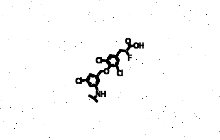 CC(C)Nc1cc(Cl)cc(COc2c(Cl)cc(CC(F)C(=O)O)cc2Cl)c1